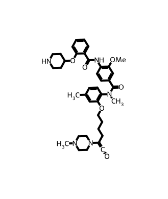 COc1cc(C(=O)N(C)c2ccc(C)cc2OCCCCC(=C=O)N2CCN(C)CC2)ccc1NC(=O)c1ccccc1OC1CCNCC1